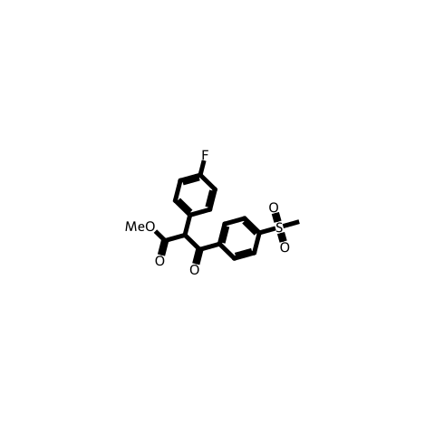 COC(=O)C(C(=O)c1ccc(S(C)(=O)=O)cc1)c1ccc(F)cc1